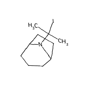 CC(C)(I)N1C2CCCC1CC2